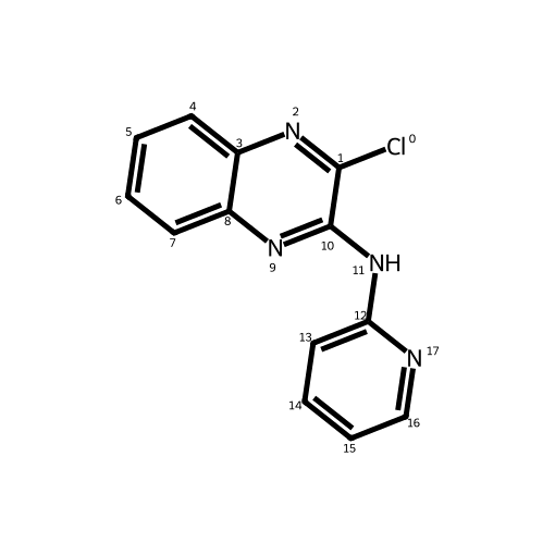 Clc1nc2ccccc2nc1Nc1ccccn1